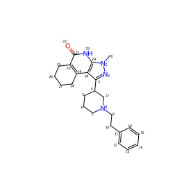 Cn1nc(C2CCCN(CCc3ccccc3)C2)c2c3c(c(=O)[nH]c21)CCCC3